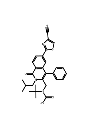 CC(C)Cn1c(CN(C(=O)O)C(C)(C)C)c(-c2ccccc2)c2cc(-c3nc(C#N)cs3)ccc2c1=O